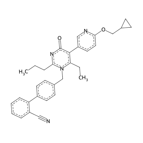 CCCc1nc(=O)c(-c2ccc(OCC3CC3)nc2)c(CC)n1Cc1ccc(-c2ccccc2C#N)cc1